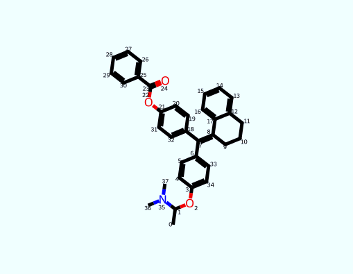 CC(Oc1ccc(C(=C2CCCc3ccccc32)c2ccc(OC(=O)c3ccccc3)cc2)cc1)N(C)C